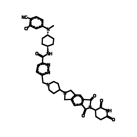 CN(c1ccc(C#N)c(Cl)c1)[C@H]1CC[C@H](NC(=O)c2ccc(CN3CCC(N4Cc5cc6c(cc5C4)C(=O)N(C4CCC(=O)NC4=O)C6=O)CC3)nn2)CC1